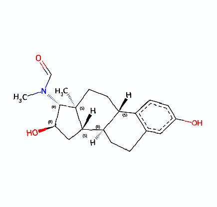 CN(C=O)[C@H]1[C@H](O)C[C@H]2[C@@H]3CCc4cc(O)ccc4[C@H]3CC[C@]12C